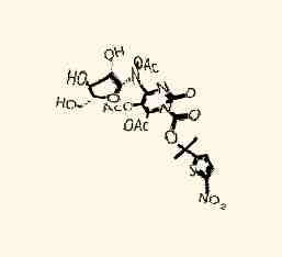 CC(=O)Oc1c(N(OC(C)=O)[C@@H]2O[C@H](CO)[C@@H](O)[C@@H]2O)nc(=O)n(C(=O)OC(C)(C)c2ccc([N+](=O)[O-])s2)c1OC(C)=O